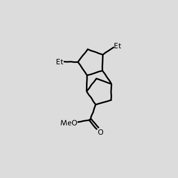 CCC1CC(CC)C2C3CC(CC3C(=O)OC)C12